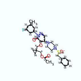 CC(=O)OCC1(COc2c(N3CCN([S+]([O-])Cc4ccccc4)CC3)cnn(-c3cc(C)cc(F)c3)c2=O)CC1